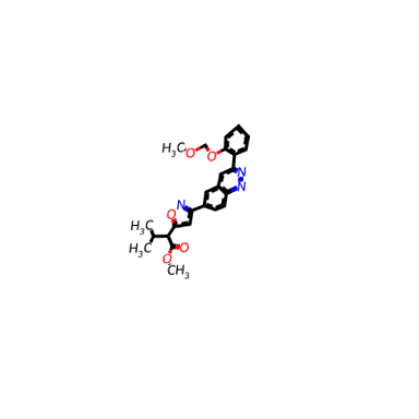 COCOc1ccccc1-c1cc2cc(-c3cc(C(C(=O)OC)C(C)C)on3)ccc2nn1